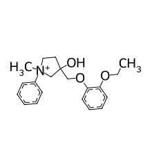 CCOc1ccccc1OCC1(O)CC[N+](C)(c2ccccc2)C1